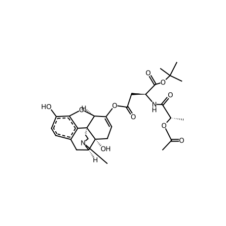 CC(=O)O[C@@H](C)C(=O)N[C@@H](CC(=O)OC1=CC[C@@]2(O)[C@H]3Cc4ccc(O)c5c4[C@@]2(CCN3C)[C@H]1O5)C(=O)OC(C)(C)C